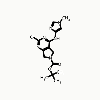 Cn1cnc(Nc2nc(Cl)nc3c2CN(C(=O)OC(C)(C)C)C3)c1